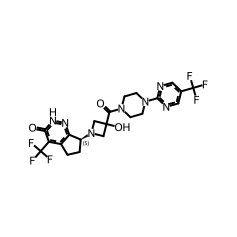 O=C(N1CCN(c2ncc(C(F)(F)F)cn2)CC1)C1(O)CN([C@H]2CCc3c2n[nH]c(=O)c3C(F)(F)F)C1